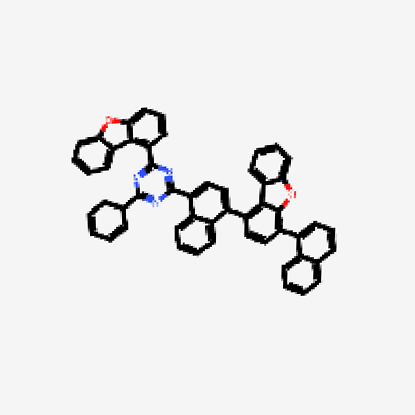 C1=CCC(c2nc(-c3ccc(-c4ccc(-c5cccc6ccccc56)c5oc6ccccc6c45)c4ccccc34)nc(-c3cccc4oc5ccccc5c34)n2)C=C1